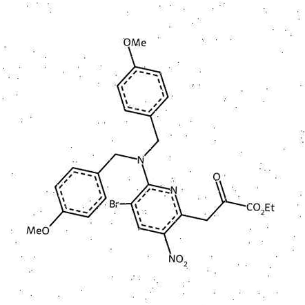 CCOC(=O)C(=O)Cc1nc(N(Cc2ccc(OC)cc2)Cc2ccc(OC)cc2)c(Br)cc1[N+](=O)[O-]